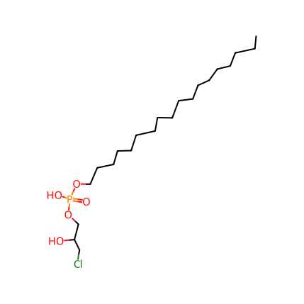 CCCCCCCCCCCCCCCCCCOP(=O)(O)OCC(O)CCl